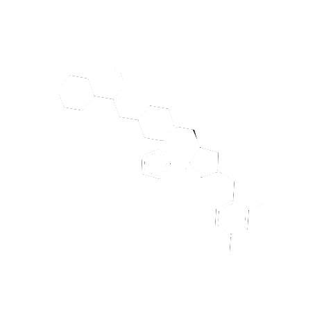 COC(CC1CCN(C[C@H]2CN(Cc3ccc(Cl)cc3Cl)C[C@@H]2c2ccsc2)CC1)C1CCOCC1